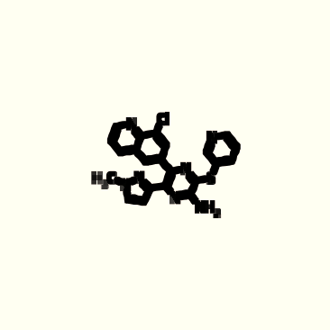 Cn1ccc(-c2nc(N)c(Sc3cccnc3)nc2-c2cc(Cl)c3ncccc3c2)n1